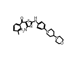 Cc1cccc(C(=O)c2sc(Nc3ccc(N4CCC(N5CCOCC5)CC4)cc3)nc2N)c1